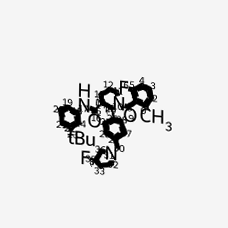 Cc1cccc(F)c1C(=O)N1CCC[C@H](C(=O)Nc2cccc(C(C)(C)C)c2)[C@@H]1c1ccc(CN2CC[C@@H](F)C2)cc1